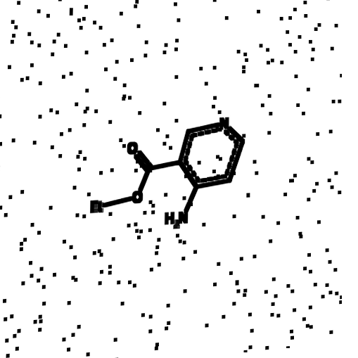 CCOC(=O)c1cnccc1N